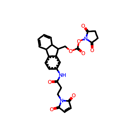 O=C(CCN1C(=O)C=CC1=O)Nc1ccc2c(c1)C(COC(=O)ON1C(=O)CCC1=O)C1C=CC=CC21